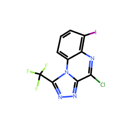 FC(F)(F)c1nnc2c(Cl)nc3c(I)cccc3n12